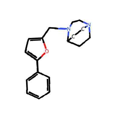 c1ccc(-c2ccc(CN3CCN4CCC3CC4)o2)cc1